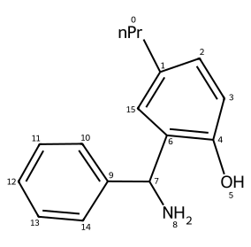 CCCc1ccc(O)c(C(N)c2ccccc2)c1